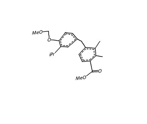 COCOc1ccc(Cc2ccc(C(=O)OC)c(C)c2C)cc1C(C)C